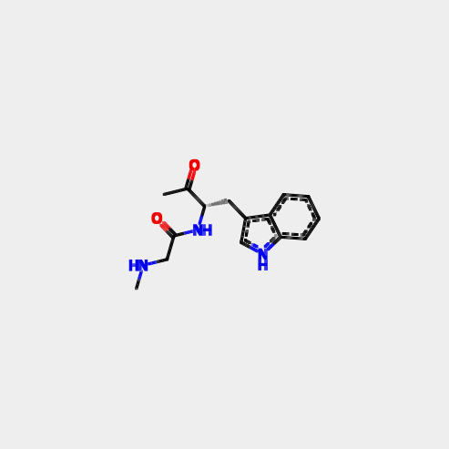 CNCC(=O)N[C@@H](Cc1c[nH]c2ccccc12)C(C)=O